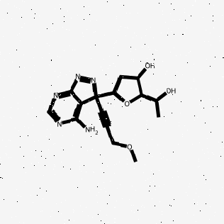 COCC#CC1(C2CC(O)C(C(C)O)O2)N=Nc2ncnc(N)c21